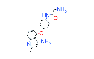 Cc1cc(N)c2c(O[C@H]3CC[C@H](NC(=O)CN)CC3)cccc2n1